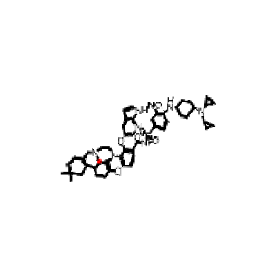 CC1(C)CCC(CN2CCN(c3cccc(C(=O)NS(=O)(=O)c4ccc(N[C@H]5CC[C@H](N(C6CC6)C6CC6)CC5)c([N+](=O)[O-])c4)c3Oc3cnc4[nH]ccc4c3)CC2)=C(c2ccc(Cl)cc2)C1